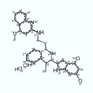 COc1cc(NCCCNC(c2cc3c(Cl)cc(Cl)cc3[nH]2)C(I)c2ccccc2)nc2ccccc12.Cl.Cl